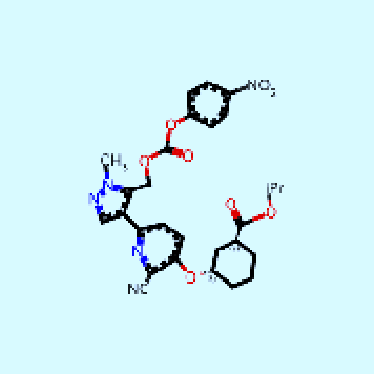 CC(C)OC(=O)[C@H]1CCC[C@H](Oc2ccc(-c3cnn(C)c3COC(=O)Oc3ccc([N+](=O)[O-])cc3)nc2C#N)C1